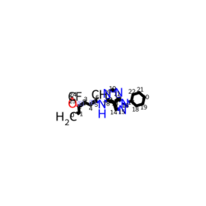 C=C/C(=C\C=C(/C)Nc1ncnc2c1cnn2C1CCCCC1)OC(F)(F)F